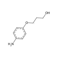 Nc1ccc(O[CH]CCO)cc1